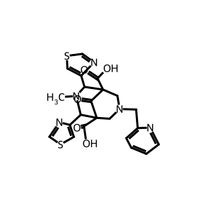 CN1C(c2cscn2)C2(C(=O)O)CN(Cc3ccccn3)CC(C(=O)O)(C2=O)C1c1cscn1